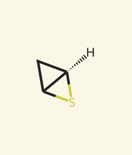 C1C2S[C@H]12